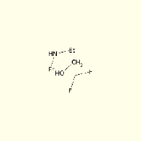 CCNCC.CO.FCF